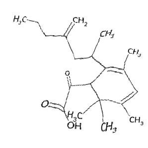 C=C(CCC)CC(C)C1=C(C)C=C(C)C(C)(C)C1C(=O)C(=O)O